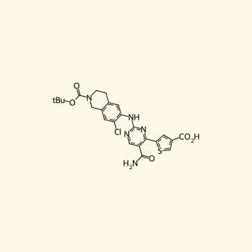 CC(C)(C)OC(=O)N1CCc2cc(Nc3ncc(C(N)=O)c(-c4cc(C(=O)O)cs4)n3)c(Cl)cc2C1